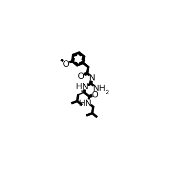 COc1cccc(CC(=O)N=C(N)N[C@H](CC(C)C)C(=O)NCC(C)C)c1